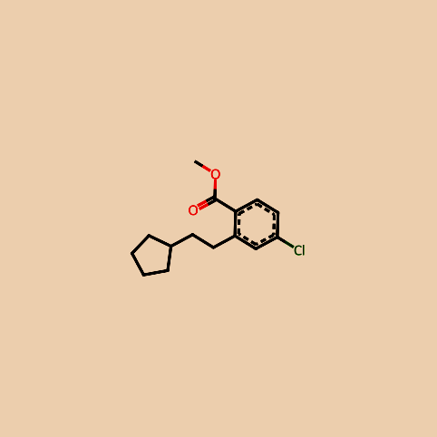 COC(=O)c1ccc(Cl)cc1CCC1CCCC1